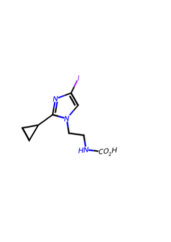 O=C(O)NCCn1cc(I)nc1C1CC1